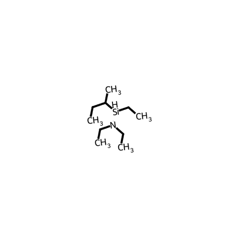 CCC(C)[SiH](CC)N(CC)CC